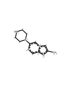 Cc1cn2cc(N3CCNCC3)ncc2n1